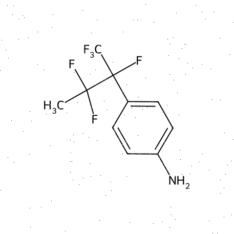 CC(F)(F)C(F)(c1ccc(N)cc1)C(F)(F)F